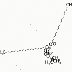 CCCCCCCCCCCCCCCCCCCCCC(=O)OC[C@H](COP(=O)([O-])OCC[N+](C)(C)C)OC(=O)CCCCCCCCCCCCCCCCCCCCC